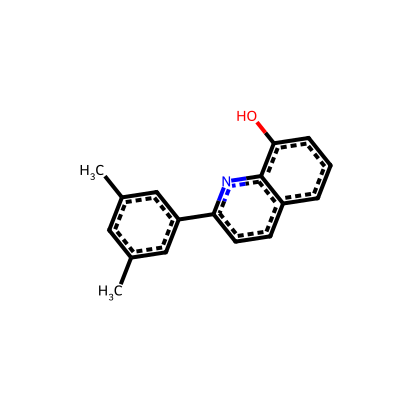 Cc1cc(C)cc(-c2ccc3cccc(O)c3n2)c1